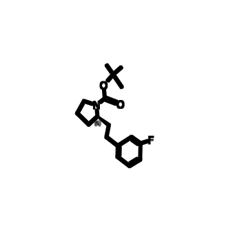 CC(C)(C)OC(=O)N1CCC[C@@H]1CCc1cccc(F)c1